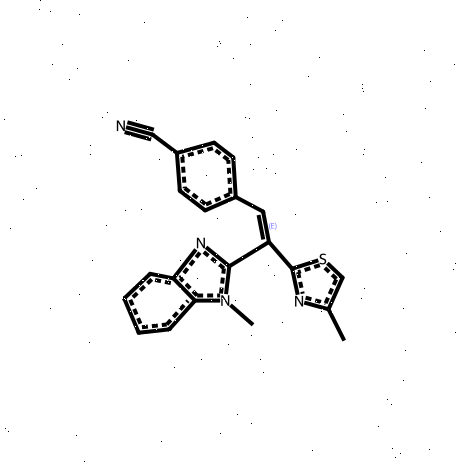 Cc1csc(/C(=C/c2ccc(C#N)cc2)c2nc3ccccc3n2C)n1